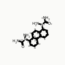 NC(=O)N(N)c1cccc2c1ccc1c(N(N)C(N)=O)cccc12